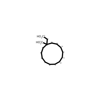 O=C(O)CC1(C(=O)O)CCCCCCCCCCCC1